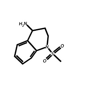 CS(=O)(=O)N1CCC(N)c2ccccc21